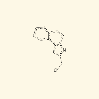 ClCc1cn2c(ccc3ccccc32)n1